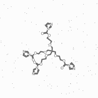 O=C(OCCOCC(COCCOC(=O)n1ccnc1)(COCCOC(=O)n1ccnc1)COCCOC(=O)n1ccnc1)n1ccnc1